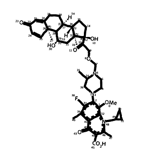 COc1c(N2CCN(COCC(=O)[C@@]3(O)CC[C@H]4[C@@H]5CCC6=CC(=O)C=C[C@]6(C)C5[C@@H](O)C[C@@]43C)C(C)C2)c(F)c(C)c2c(=O)c(C(=O)O)c(C)n(C3CC3)c12